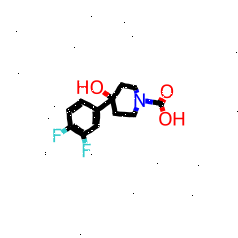 O=C(O)N1CCC(O)(c2ccc(F)c(F)c2)CC1